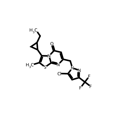 CCC1CC1c1c(C)sc2nc(Cn3nc(C(F)(F)F)cc3Cl)cc(=O)n12